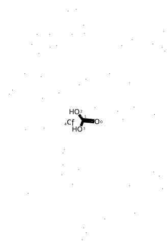 O=C(O)O.[Cf]